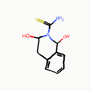 NC(=S)N1C(O)Cc2ccccc2C1O